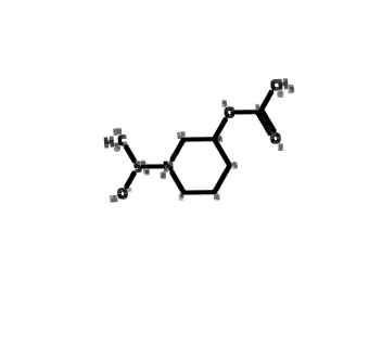 CC(=O)OC1CCCN([S+](C)[O-])C1